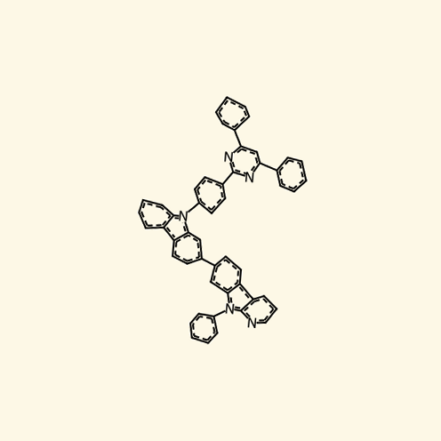 c1ccc(-c2cc(-c3ccccc3)nc(-c3ccc(-n4c5ccccc5c5ccc(-c6ccc7c8cccnc8n(-c8ccccc8)c7c6)cc54)cc3)n2)cc1